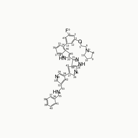 Fc1cc(OCCN2CCCC2)cc(-c2cccc3[nH]c(-c4n[nH]c5ncc(-c6cncc(CNCc7ccccc7)c6)cc45)cc23)c1